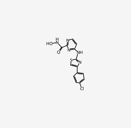 O=C(NO)c1nccc(Nc2nc(-c3ccc(Cl)cc3)cs2)n1